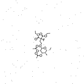 CCOC(=O)C(F)(CCOC1O[C@H](CC)[C@@H](C)[C@H](OC(C)=O)[C@@H]1OC(C)=O)C(=O)OCC